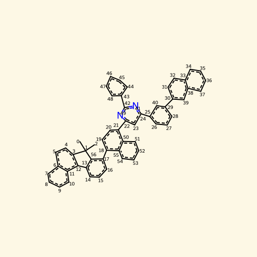 CC1(C)c2ccc3ccccc3c2-c2cccc(-c3ccc(-c4cc(-c5cccc(-c6ccc7ccccc7c6)c5)nc(-c5ccccc5)n4)c4ccccc34)c21